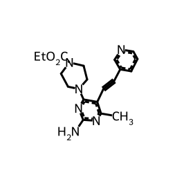 CCOC(=O)N1CCN(c2nc(N)nc(C)c2C#Cc2cccnc2)CC1